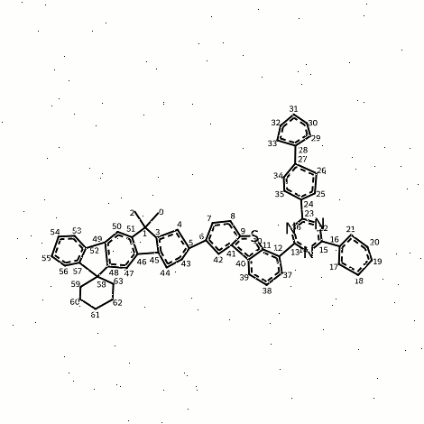 CC1(C)c2cc(-c3ccc4sc5c(-c6nc(-c7ccccc7)nc(-c7ccc(-c8ccccc8)cc7)n6)cccc5c4c3)ccc2-c2cc3c(cc21)-c1ccccc1C31CCCCC1